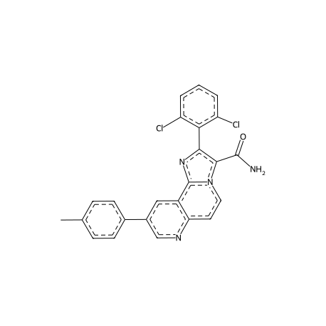 Cc1ccc(-c2cnc3ccn4c(C(N)=O)c(-c5c(Cl)cccc5Cl)nc4c3c2)cc1